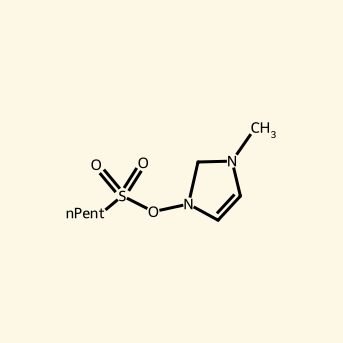 CCCCCS(=O)(=O)ON1C=CN(C)C1